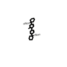 CCCCCCCCCC1(c2ccc(-c3ccc(C4(CCCCCCCCC)CCCCC4)cc3C)cc2)CCCCC1